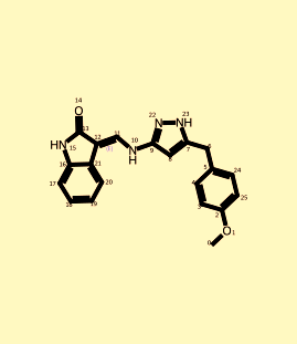 COc1ccc(Cc2cc(N/C=C3/C(=O)Nc4ccccc43)n[nH]2)cc1